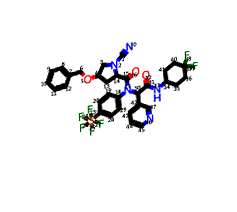 N#CN1CC(OCc2ccccc2)CC1C(=O)N(c1ccc(S(F)(F)(F)(F)F)cc1)C(C(=O)NC1CCC(F)(F)CC1)c1cccnc1